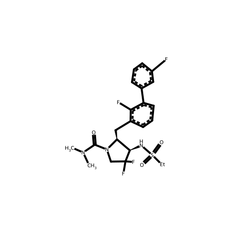 CCS(=O)(=O)N[C@@H]1[C@H](Cc2cccc(-c3cccc(F)c3)c2F)N(C(=O)N(C)C)CC1(F)F